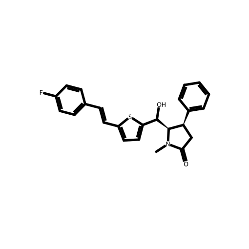 CN1C(=O)C[C@H](c2ccccc2)[C@@H]1C(O)c1ccc(C=Cc2ccc(F)cc2)s1